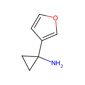 NC1(c2ccoc2)CC1